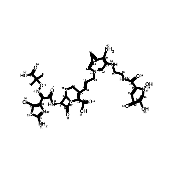 CC(C)(O/N=C(\C(=O)N[C@@H]1C(=O)N2C(C(=O)O)=C(/C=C/C[N+]3=C/C(NCCNC(=O)c4cc(=O)c(O)cn4O)=C(N)\C=C\C=C\3)CSC12)c1nc(N)sc1Cl)C(=O)O